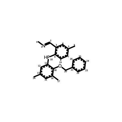 C/N=C/c1cc(C)ccc1Pc1cc(C)cc(C)c1OCc1ccccc1